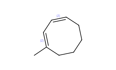 C/C1=C/C=C\CCCC1